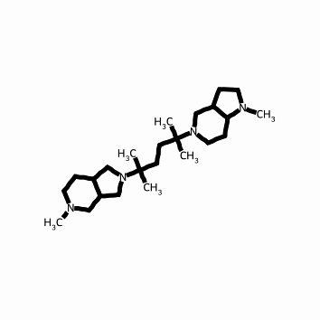 CN1CCC2CN(C(C)(C)CCC(C)(C)N3CCC4C(CCN4C)C3)CC2C1